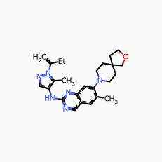 C=C(CC)n1ncc(Nc2ncc3cc(C)c(N4CCC5(CCOC5)CC4)cc3n2)c1C